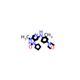 CNc1cnc(Nc2ccc(N3CCOCC3)cc2C)cc1N(C=O)C1CCCC1